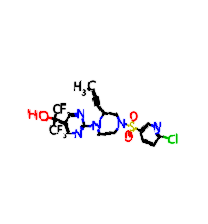 CC#CC1CN(S(=O)(=O)c2ccc(Cl)nc2)CCN1c1ncc(C(O)(C(F)(F)F)C(F)(F)F)cn1